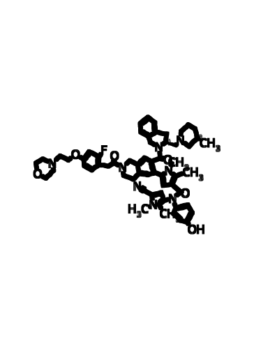 Cc1c(N(C(=O)c2cc(-c3cc4c(cc3C(=O)N3Cc5ccccc5C[C@H]3CN3CCC[C@@H](C)C3)CN(C(=O)Cc3ccc(OCCN5CCOCC5)cc3F)CC4)n(C)c2C)c2ccc(O)cc2)cc(C#N)n1C